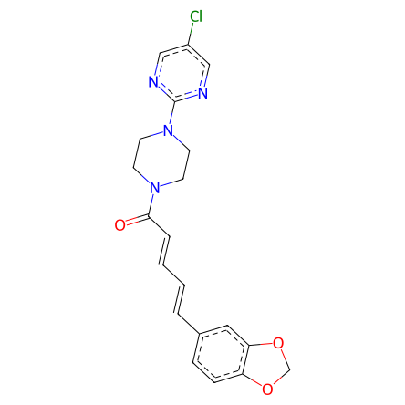 O=C(C=CC=Cc1ccc2c(c1)OCO2)N1CCN(c2ncc(Cl)cn2)CC1